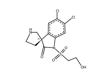 O=C1N(S(=O)(=O)CCO)c2cc(Cl)c(Cl)cc2[C@]12CCNC2